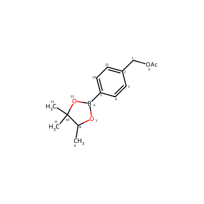 CC(=O)OCc1ccc(B2OC(C)C(C)(C)O2)cc1